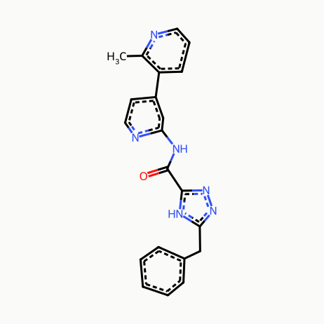 Cc1ncccc1-c1ccnc(NC(=O)c2nnc(Cc3ccccc3)[nH]2)c1